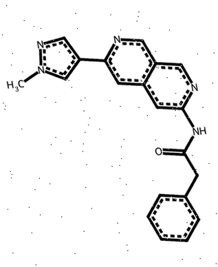 Cn1cc(-c2cc3cc(NC(=O)Cc4ccccc4)ncc3cn2)cn1